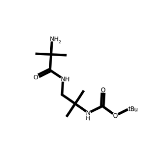 CC(C)(CNC(=O)C(C)(C)N)NC(=O)OC(C)(C)C